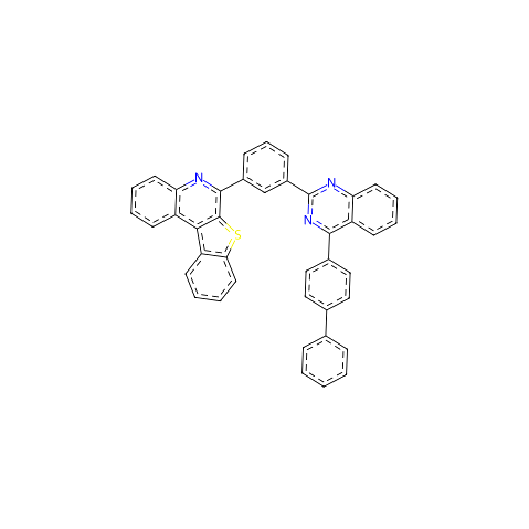 c1ccc(-c2ccc(-c3nc(-c4cccc(-c5nc6ccccc6c6c5sc5ccccc56)c4)nc4ccccc34)cc2)cc1